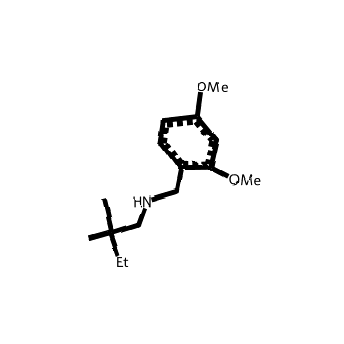 CCC(C)(C)CNCc1ccc(OC)cc1OC